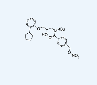 CC(C)(C)N(C[C@H](O)COc1ccccc1C1CCCC1)C(=O)c1ccc(CO[N+](=O)[O-])cc1